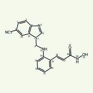 N#Cc1ccc2ncn(CNc3ccccc3/C=C/C(=O)NO)c2c1